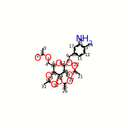 CC(=O)OC[C@H]1O[C@@H](OCc2ccc(C)c(N)c2)[C@H](OC(C)=O)[C@@H](OC(C)=O)[C@@H]1OC(C)=O